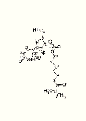 CC(C)C(=O)SCCOCCO[PH](=O)OC1C(CO)OC(n2ccc(=O)[nH]c2=O)C1F